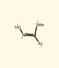 CS/C(=N\O)C(C)=O